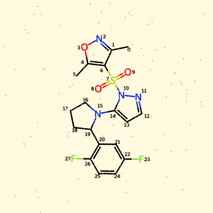 Cc1noc(C)c1S(=O)(=O)n1nccc1N1CCCC1c1cc(F)ccc1F